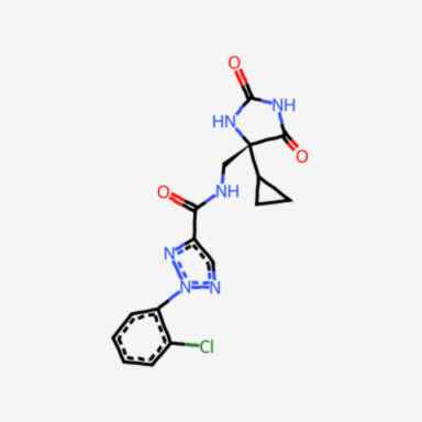 O=C1NC(=O)[C@](CNC(=O)c2cnn(-c3ccccc3Cl)n2)(C2CC2)N1